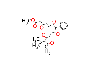 COC(=O)CC(=O)CCC(=O)C(C(=O)CCC(=O)C(C(C)=O)C(C)C)c1ccccc1